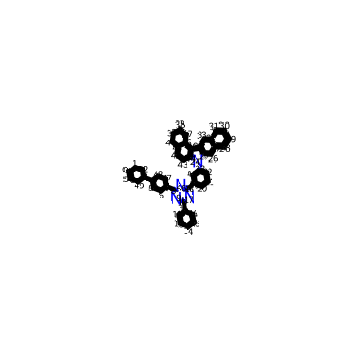 c1ccc(-c2ccc(-c3nc(-c4ccccc4)nc(-c4cccc(-n5c6cc7ccccc7cc6c6c7ccccc7ccc65)c4)n3)cc2)cc1